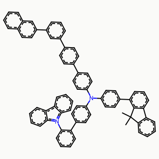 CC1(C)c2ccccc2-c2cccc(-c3ccc(N(c4ccc(-c5ccc(-c6cccc(-c7ccc8ccccc8c7)c6)cc5)cc4)c4ccc(-c5ccccc5-n5c6ccccc6c6ccccc65)cc4)cc3)c21